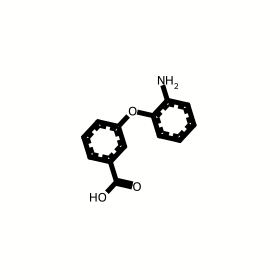 Nc1ccccc1Oc1cccc(C(=O)O)c1